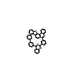 c1ccc(-c2cccc(-c3nc(-c4cccc(-c5nc6ccccc6c6c5ccc5c7ccccc7sc56)c4)nc4ccccc34)c2)cc1